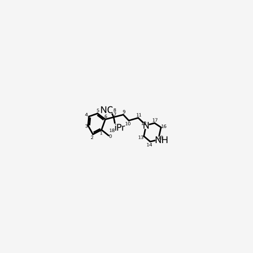 Cc1ccccc1C(C#N)(CCCN1CCNCC1)C(C)C